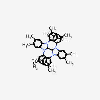 Cc1cc(C)cc(N2c3cc(C)c(C)cc3N(c3cc(C)cc(C)c3)C2C2N(c3cc(C)cc(C)c3)c3cc(C)c(C)cc3N2c2cc(C)cc(C)c2)c1